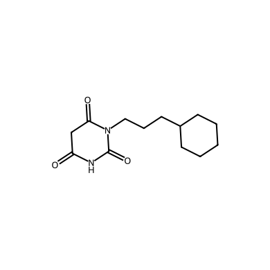 O=C1CC(=O)N(CCCC2CCCCC2)C(=O)N1